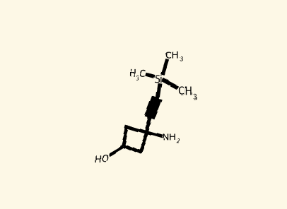 C[Si](C)(C)C#CC1(N)CC(O)C1